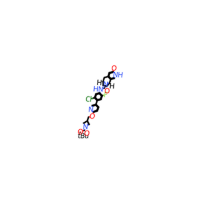 CC(C)(C)OC(=O)N1CC(COc2ccc(-c3cc(F)c(NC(=O)N4[C@H]5CC[C@@H]4c4c[nH]c(=O)cc4C5)cc3Cl)cn2)C1